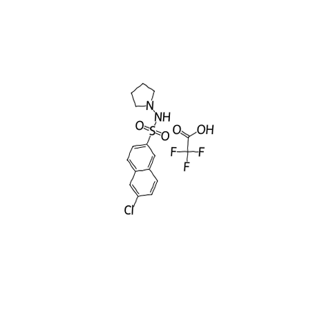 O=C(O)C(F)(F)F.O=S(=O)(NN1CCCC1)c1ccc2cc(Cl)ccc2c1